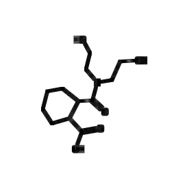 O=C(O)C1CCCCC1C(=O)N(CCO)CCO